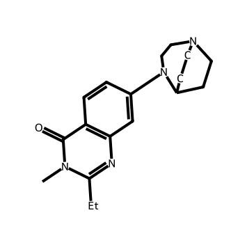 CCc1nc2cc(N3CCN4CCC3CC4)ccc2c(=O)n1C